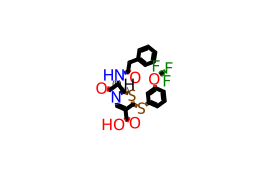 O=C(Cc1ccccc1)N[C@@H]1C(=O)N2C=C(C(=O)O)C(Sc3cccc(OC(F)(F)F)c3)S[C@H]12